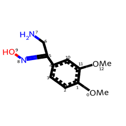 COc1ccc(C(CN)=NO)cc1OC